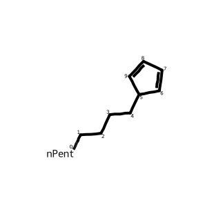 CCCCCCCCCC1C=CC=C1